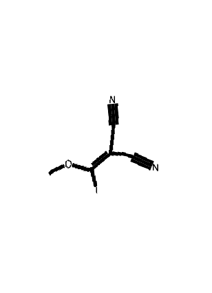 COC(I)=C(C#N)C#N